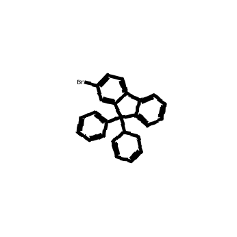 Brc1ccc2c(c1)C(c1ccccc1)(C1C=CC=CC1)c1ccccc1-2